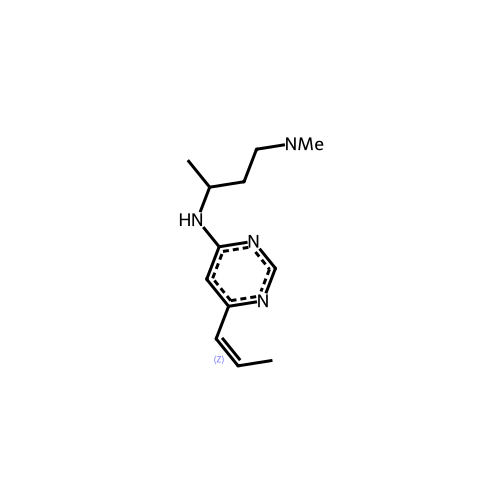 C/C=C\c1cc(NC(C)CCNC)ncn1